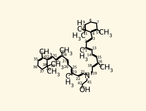 CC(C=CC1=C(C)CCCC1(C)C)=CC=CC(C)=CC=[N+](C=CC(C)=CC=CC(C)=CC=C1C(C)=CCCC1(C)C)CCO